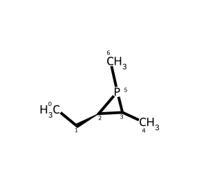 CC[C@@H]1C(C)P1C